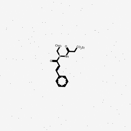 CCOC(=O)CC(=O)NN(C[C]=O)C(=O)/C=C/c1ccccc1